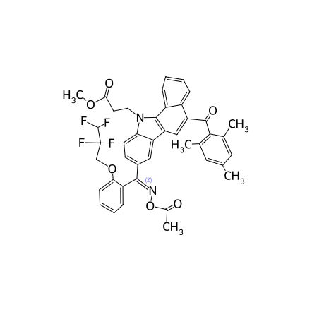 COC(=O)CCn1c2ccc(/C(=N/OC(C)=O)c3ccccc3OCC(F)(F)C(F)F)cc2c2cc(C(=O)c3c(C)cc(C)cc3C)c3ccccc3c21